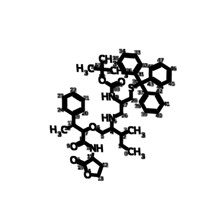 CCC(C)C(COC(C(=O)N[C@@H]1CCOC1=O)[C@@H](C)c1ccccc1)NCC(CSC(c1ccccc1)(c1ccccc1)c1ccccc1)NC(=O)OC(C)(C)C